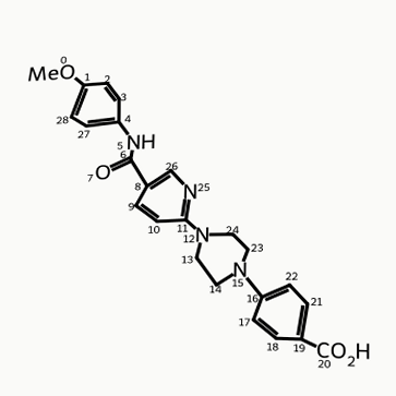 COc1ccc(NC(=O)c2ccc(N3CCN(c4ccc(C(=O)O)cc4)CC3)nc2)cc1